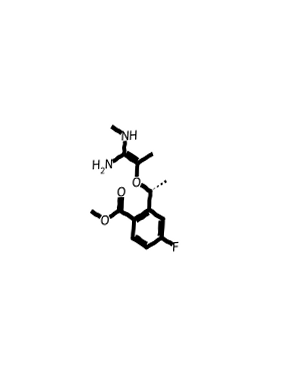 CN/C(N)=C(\C)O[C@H](C)c1cc(F)ccc1C(=O)OC